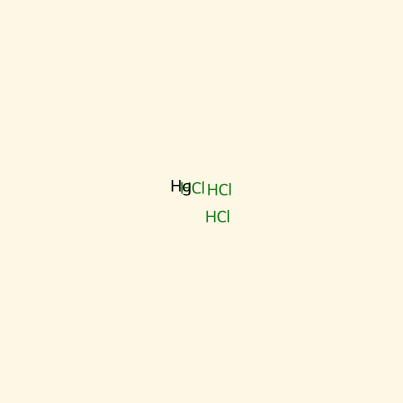 Cl.Cl.Cl.[Hg]